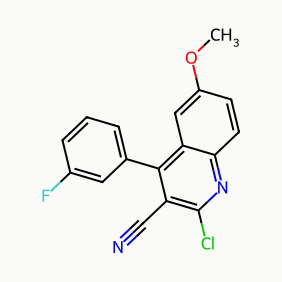 COc1ccc2nc(Cl)c(C#N)c(-c3cccc(F)c3)c2c1